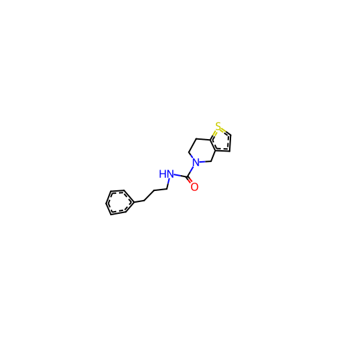 O=C(NCCCc1ccccc1)N1CCc2sccc2C1